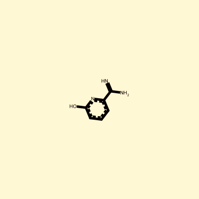 N=C(N)c1cccc(O)n1